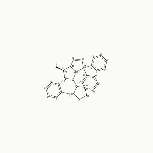 Cc1ccccc1N1C(C2CCCC2)N2C(C=CC2(c2ccccc2)c2ccccc2)[C@@H]1C